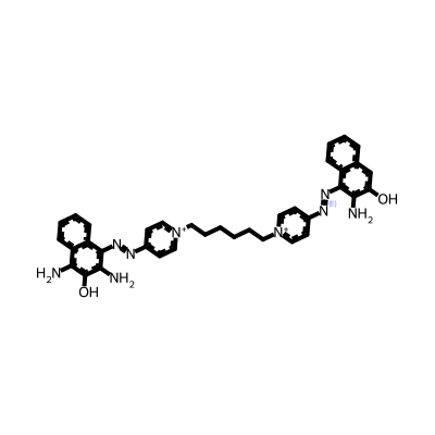 Nc1c(O)cc2ccccc2c1/N=N/c1cc[n+](CCCCCC[n+]2ccc(N=Nc3c(N)c(O)c(N)c4ccccc34)cc2)cc1